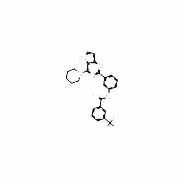 O=C(Nc1cccc(-c2nc(N3CCCCC3)c3[nH]ccc3n2)c1)c1cccc(C(F)(F)F)c1